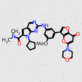 COc1cc(Nc2ncc3cc(C(=O)N(C)C)n(C4CCCC4)c3n2)cc(-c2coc3c(=O)cc(N4CCOCC4)oc23)c1